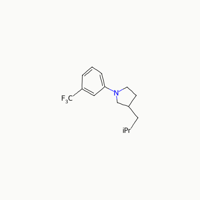 CC(C)CC1CCN(c2cccc(C(F)(F)F)c2)C1